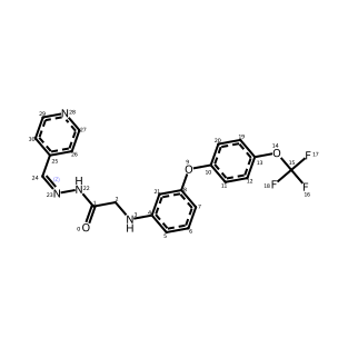 O=C(CNc1cccc(Oc2ccc(OC(F)(F)F)cc2)c1)N/N=C\c1ccncc1